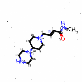 CNC(=O)/C=C/CN1CCC(N2CCNCC2)CC1